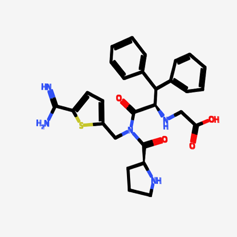 N=C(N)c1ccc(CN(C(=O)[C@@H]2CCCN2)C(=O)[C@H](NCC(=O)O)C(c2ccccc2)c2ccccc2)s1